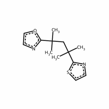 CC(C)(CC(C)(C)c1nccs1)c1ncco1